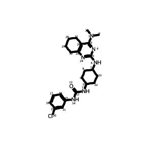 CN(C)c1nc(NC2CCC(NC(=O)Nc3cccc(Cl)c3)CC2)nc2c1CCCC2